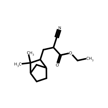 CCOC(=O)C(C#N)CC1C2CCC(C2)C1(C)C